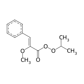 COC(=Cc1ccccc1)C(=O)OOC(C)C